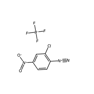 F[B-](F)(F)F.N#[N+]c1ccc([N+](=O)[O-])cc1Cl